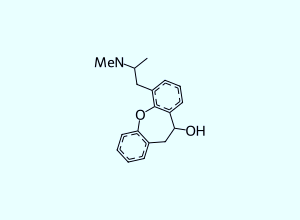 CNC(C)Cc1cccc2c1Oc1ccccc1CC2O